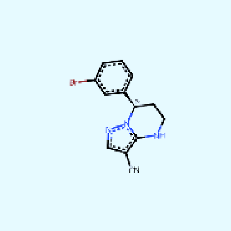 N#Cc1cnn2c1NCC[C@@H]2c1cccc(Br)c1